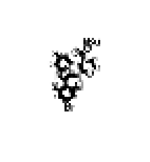 Cc1ccn2c(C[C@H]3CN(C(=O)OC(C)(C)C)CCO3)c(-c3c(C)cc(Br)cc3Cl)nc2c1